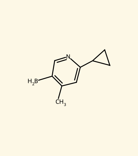 Bc1cnc(C2CC2)cc1C